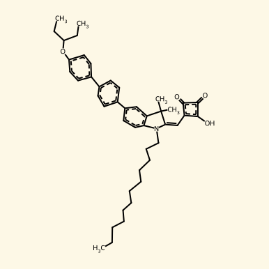 CCCCCCCCCCCCN1/C(=C/c2c(O)c(=O)c2=O)C(C)(C)c2cc(-c3ccc(-c4ccc(OC(CC)CC)cc4)cc3)ccc21